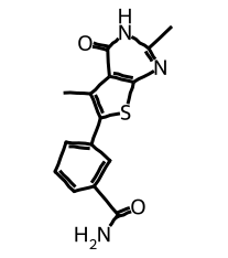 Cc1nc2sc(-c3cccc(C(N)=O)c3)c(C)c2c(=O)[nH]1